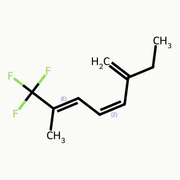 C=C(/C=C\C=C(/C)C(F)(F)F)CC